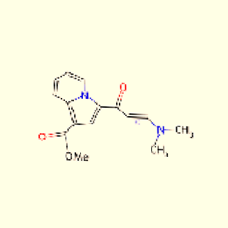 COC(=O)c1cc(C(=O)/C=C/N(C)C)n2ccccc12